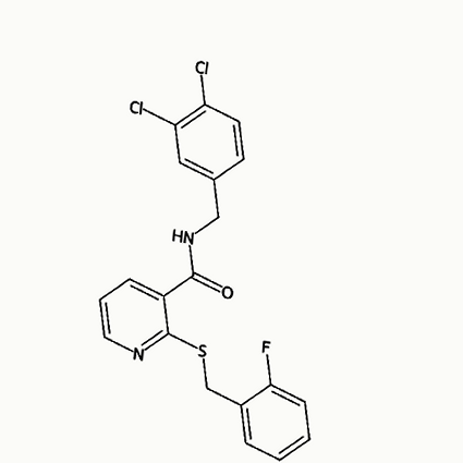 O=C(NCc1ccc(Cl)c(Cl)c1)c1cccnc1SCc1ccccc1F